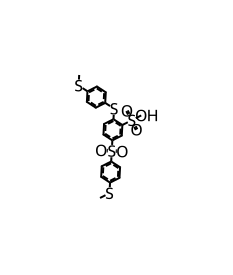 CSc1ccc(Sc2ccc(S(=O)(=O)c3ccc(SC)cc3)cc2S(=O)(=O)O)cc1